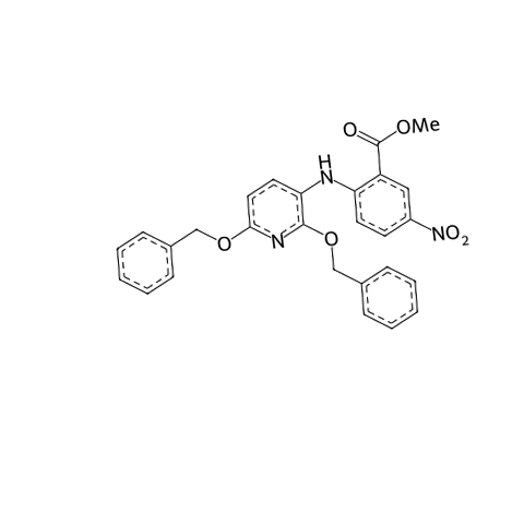 COC(=O)c1cc([N+](=O)[O-])ccc1Nc1ccc(OCc2ccccc2)nc1OCc1ccccc1